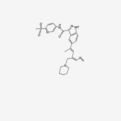 C=N/C=C(\C=C(/C)c1ccc2[nH]nc(C(=O)Nc3ccc(S(C)(=O)=O)nc3)c2c1)CN1CCCCC1